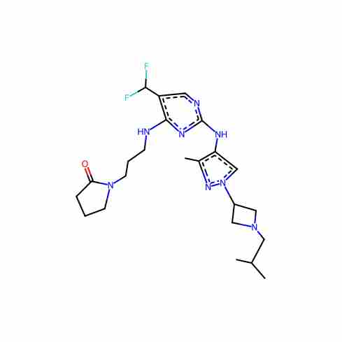 Cc1nn(C2CN(CC(C)C)C2)cc1Nc1ncc(C(F)F)c(NCCCN2CCCC2=O)n1